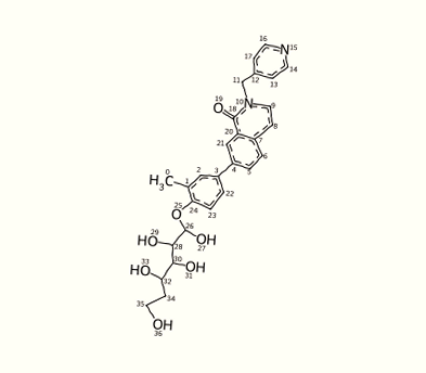 Cc1cc(-c2ccc3ccn(Cc4ccncc4)c(=O)c3c2)ccc1OC(O)C(O)C(O)C(O)CCO